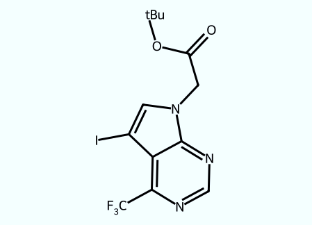 CC(C)(C)OC(=O)Cn1cc(I)c2c(C(F)(F)F)ncnc21